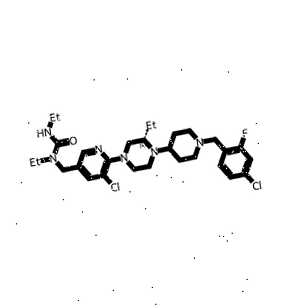 CCNC(=O)N(CC)Cc1cnc(N2CCN(C3CCN(Cc4ccc(Cl)cc4F)CC3)[C@@H](CC)C2)c(Cl)c1